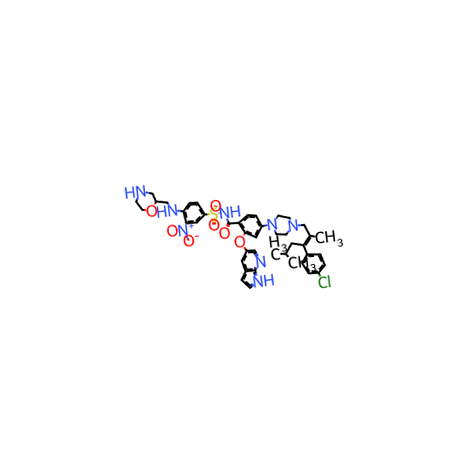 CC(CN1CCN(c2ccc(C(=O)NS(=O)(=O)c3ccc(NCC4CNCCO4)c([N+](=O)[O-])c3)c(Oc3cnc4[nH]ccc4c3)c2)CC1)=C(CC(C)C)c1ccc(Cl)cc1